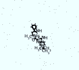 CC(Cc1c[nH]c2ccccc12)NC(=O)C(=N)SC(=N)N1CCN(C(C)(C)C)CC1